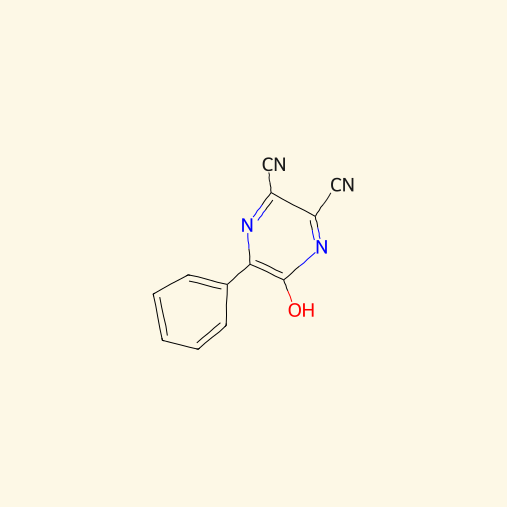 N#Cc1nc(O)c(-c2ccccc2)nc1C#N